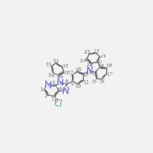 Clc1ccnc2c1nc(-c1ccc(-n3c4ccccc4c4ccccc43)cc1)n2-c1ccccc1